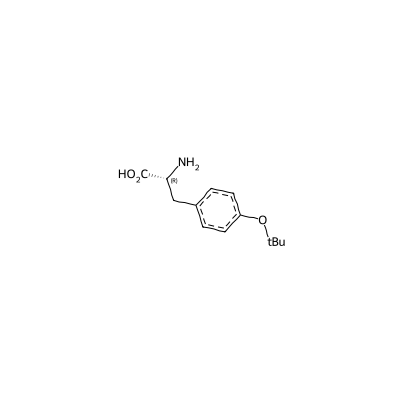 CC(C)(C)Oc1ccc(C[C@@H](N)C(=O)O)cc1